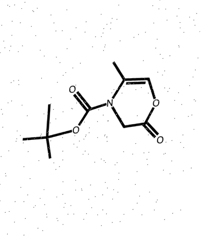 CC1=COC(=O)CN1C(=O)OC(C)(C)C